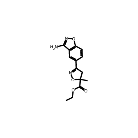 CCOC(=O)C1(C)CC(c2ccc3onc(N)c3c2)=NO1